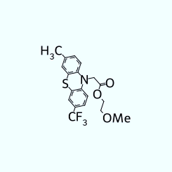 COCCOC(=O)CN1c2ccc(C)cc2Sc2cc(C(F)(F)F)ccc21